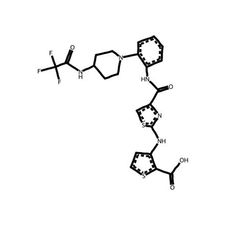 O=C(Nc1ccccc1N1CCC(NC(=O)C(F)(F)F)CC1)c1csc(Nc2ccsc2C(=O)O)n1